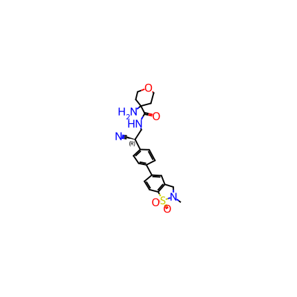 CN1Cc2cc(-c3ccc([C@@H](C#N)CNC(=O)C4(N)CCOCC4)cc3)ccc2S1(=O)=O